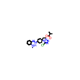 C=C(C)C(=O)OCCC1(n2nnnc2Cl)C=CC(N=Nc2ccccc2NC)=CC1